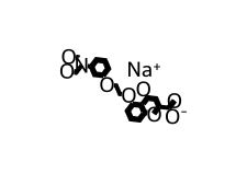 O=CN(C=O)c1cccc(OCCOc2cccc3oc(C(=O)[O-])cc(=O)c23)c1.[Na+]